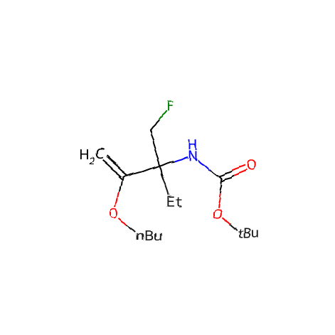 C=C(OCCCC)C(CC)(CF)NC(=O)OC(C)(C)C